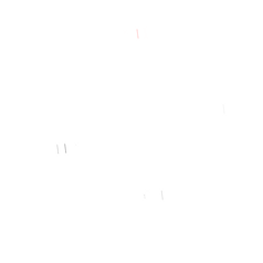 CCCc1c(C)ccc(O)c1CCC